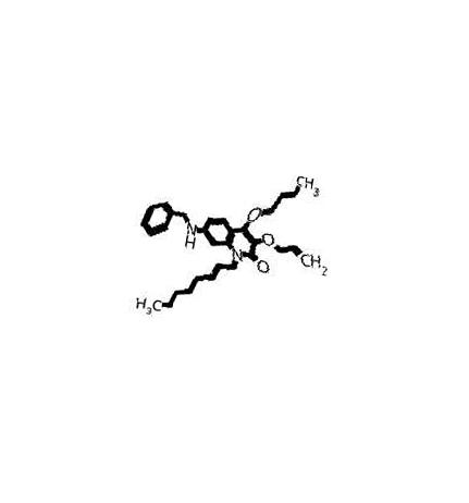 C=CCOc1c(OCCCC)c2ccc(NCc3ccccc3)cc2n(CCCCCCCC)c1=O